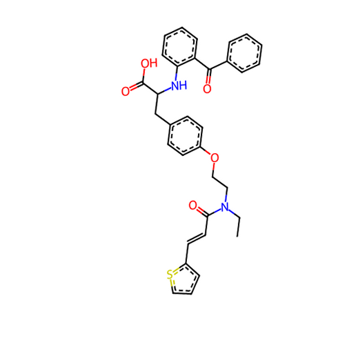 CCN(CCOc1ccc(CC(Nc2ccccc2C(=O)c2ccccc2)C(=O)O)cc1)C(=O)C=Cc1cccs1